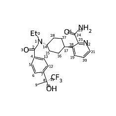 CCN(C(=O)c1ccc([C@](C)(O)C(F)(F)F)cc1)[C@H]1CC[C@H](c2cccnc2C(N)=O)CC1